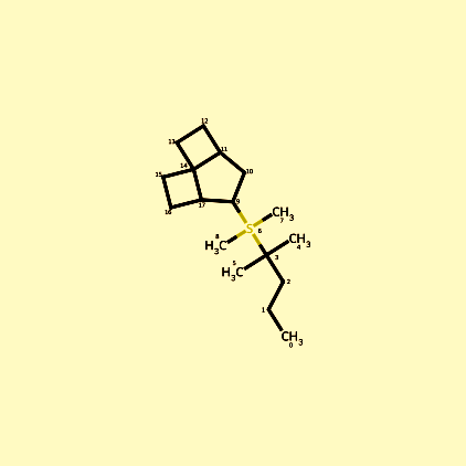 CCCC(C)(C)S(C)(C)C1CC2CCC23CCC13